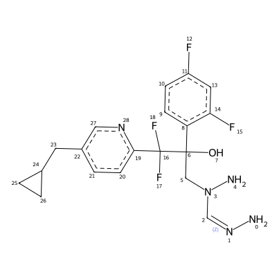 N/N=C\N(N)CC(O)(c1ccc(F)cc1F)C(F)(F)c1ccc(CC2CC2)cn1